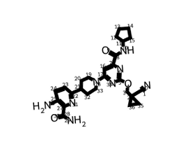 N#CC1(COc2nc(C(=O)NC3CCCC3)cc(N3CCC(c4ccc(N)c(C(N)=O)n4)CC3)n2)CC1